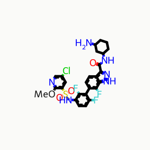 COc1ncc(Cl)cc1S(=O)(=O)Nc1ccc(F)c(-c2ccc3c(C(=O)NC4CCCC(N)C4)n[nH]c3c2F)c1F